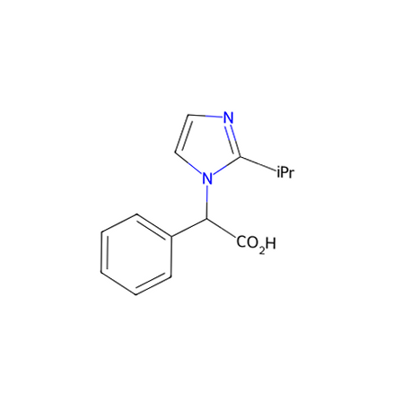 CC(C)c1nccn1C(C(=O)O)c1ccccc1